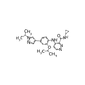 CC(C)Oc1cc(-c2cnn(C(C)C)c2)ccc1Nc1ccnnc1C(=O)NC1CC1